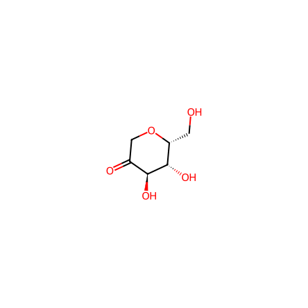 O=C1CO[C@H](CO)[C@H](O)[C@H]1O